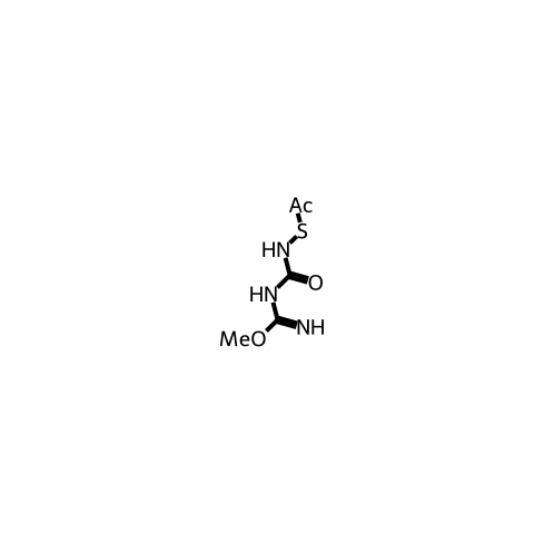 COC(=N)NC(=O)NSC(C)=O